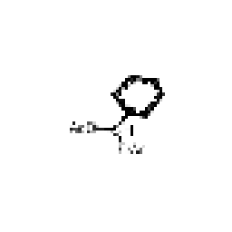 CC(=O)O[SiH](OC(C)=O)c1ccccc1